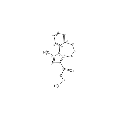 CCOC(=O)c1nc(C)n2c1CCCc1ccccc1-2